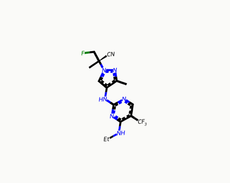 CCNc1nc(Nc2cn([C@@](C)(C#N)CF)nc2C)ncc1C(F)(F)F